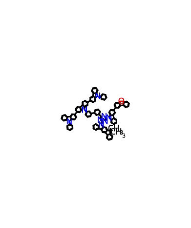 CC1(C)c2ccccc2-c2cc3c4ccccc4n(-c4nc(-c5cccc(-c6cccc(-n7c8cc(-c9ccc%10c(c9)c9ccccc9n%10-c9ccccc9)ccc8c8ccc(-c9ccc%10c(c9)c9ccccc9n%10-c9ccccc9)cc87)c6)c5)nc(-n5c6ccccc6c6cc(-c7ccc8oc9ccccc9c8c7)ccc65)n4)c3cc21